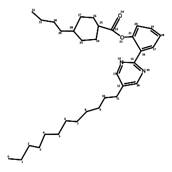 CCCCCCCCCCCCc1cnc(-c2ccccc2OC(=O)C2CCC(CCCC)CC2)nc1